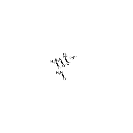 N[O-].N[O-].N[O-].N[O-].[Pd+4]